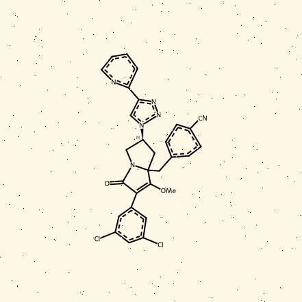 COC1=C(c2cc(Cl)cc(Cl)c2)C(=O)N2C[C@@H](n3cc(-c4ccccn4)nn3)CC12Cc1ccc(C#N)cc1